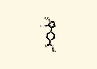 Cc1c(N2CCN(C(=O)OC(C)(C)C)CC2)cnn1C